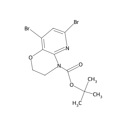 CC(C)(C)OC(=O)N1CCOc2c(Br)cc(Br)nc21